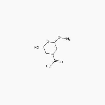 CC(=O)N1CCOC(ON)C1.Cl